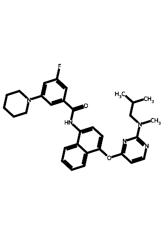 CC(C)CN(C)c1nccc(Oc2ccc(NC(=O)c3cc(F)cc(N4CCCCC4)c3)c3ccccc23)n1